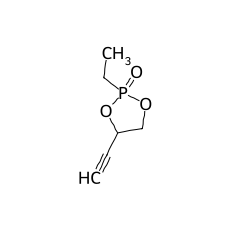 C#CC1COP(=O)(CC)O1